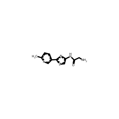 Cc1ccc(-c2nc(NC(=O)CN)cs2)cn1